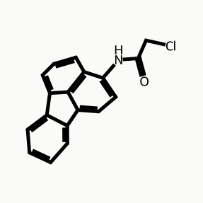 O=C(CCl)Nc1ccc2c3c(cccc13)-c1ccccc1-2